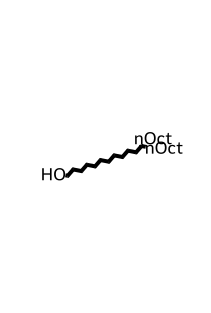 CCCCCCCCC(CCCCCCCC)CCCCCCCCCCCO